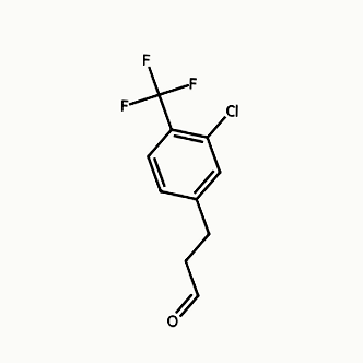 O=CCCc1ccc(C(F)(F)F)c(Cl)c1